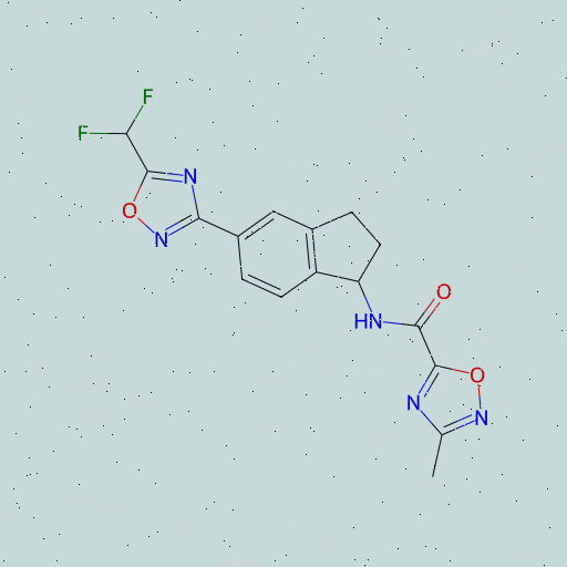 Cc1noc(C(=O)NC2CCc3cc(-c4noc(C(F)F)n4)ccc32)n1